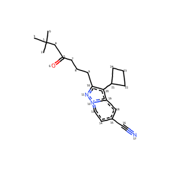 CC(C)(C)CC(=O)CCCc1nn2ccc(C#N)cc2c1C1CCC1